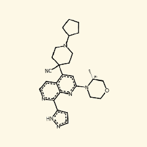 C[C@@H]1COCCN1c1cc(C2(C#N)CCN(C3CCCC3)CC2)c2ccnc(-c3ccn[nH]3)c2n1